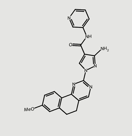 COc1ccc2c(c1)CCc1cnc(-n3cc(C(=O)Nc4cccnc4)c(N)n3)nc1-2